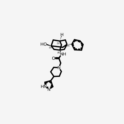 O=C(CN1CCC(c2cn[nH]c2)CC1)N[C@@]12C[C@H]3C[C@@](O)(C1)C[C@@](c1ccccc1)(C3)C2